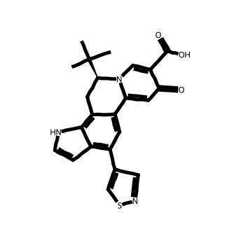 CC(C)(C)[C@@H]1Cc2c(cc(-c3cnsc3)c3cc[nH]c23)-c2cc(=O)c(C(=O)O)cn21